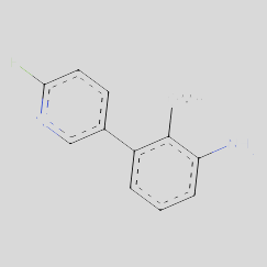 COc1c(N)cccc1-c1ccc(F)nc1